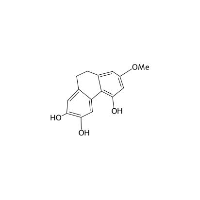 COc1cc(O)c2c(c1)CCc1cc(O)c(O)cc1-2